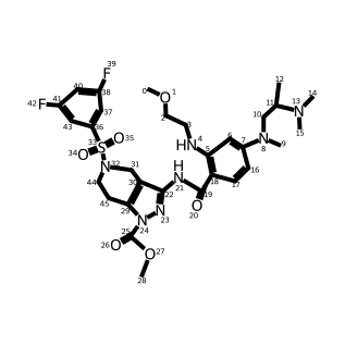 COCCNc1cc(N(C)CC(C)N(C)C)ccc1C(=O)Nc1nn(C(=O)OC)c2c1CN(S(=O)(=O)c1cc(F)cc(F)c1)CC2